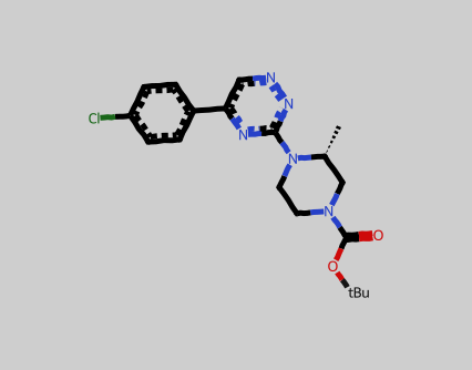 C[C@@H]1CN(C(=O)OC(C)(C)C)CCN1c1nncc(-c2ccc(Cl)cc2)n1